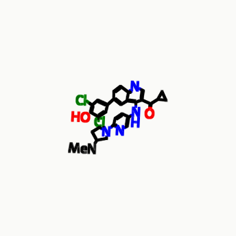 CNC1CCN(c2ccc(Nc3c(C(=O)C4CC4)cnc4ccc(-c5cc(Cl)c(O)c(Cl)c5)cc34)cn2)C1